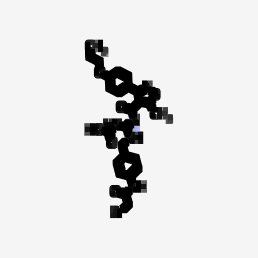 C=CCOc1ccc(-c2noc(C)c2C(=O)/N=C(/NCc2ccc(NC(=O)CBr)cc2)NC(=O)O)cc1